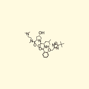 CC(C)C[C@@H](NC(=O)c1ccccc1OCc1noc(C(C)(C)C)n1)C(=O)N1C[C@@H](O)C[C@@H]1C(=O)N(C)CCN(C)C